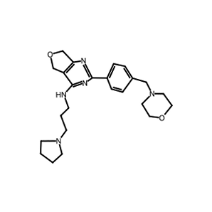 c1cc(-c2nc3c(c(NCCCN4CCCC4)n2)COC3)ccc1CN1CCOCC1